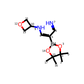 CC1(C)OB(/C(C=N)=C/NC2COC2)OC1(C)C